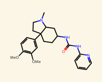 COc1ccc(C23CCC(NC(=O)Nc4ccccn4)CC2N(C)CC3)cc1OC